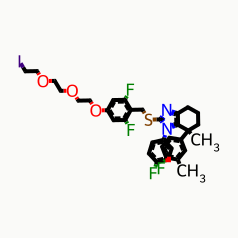 Cc1cc(C2(C)CCCc3nc(SCc4c(F)cc(OCCOCCOCCI)cc4F)n(-c4ccc(F)cc4)c32)ccc1F